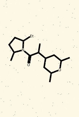 CCC1CCC(C)N1C(=O)C(C)C1CC(C)OC(C)C1